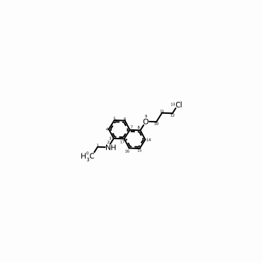 CCNc1cccc2c(OCCCCl)cccc12